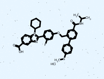 CSc1ccc(-c2ccc(C(=O)NC(C)C)cc2COc2ccc(-c3nc4cc(C(=O)O)ccc4n3C3CCCCC3)c(F)c2)cc1.Cl